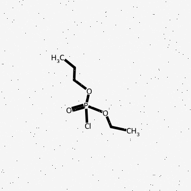 CCCOP(=O)(Cl)OCC